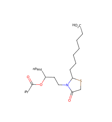 CCCCCC(CCN1C(=O)CSC1CCCCCCC(=O)O)OC(=O)C(C)C